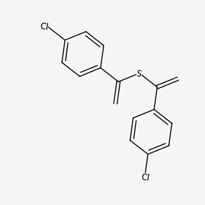 C=C(SC(=C)c1ccc(Cl)cc1)c1ccc(Cl)cc1